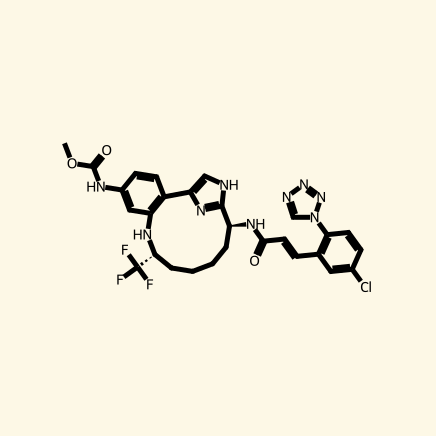 COC(=O)Nc1ccc2c(c1)N[C@@H](C(F)(F)F)CCCC[C@H](NC(=O)/C=C/c1cc(Cl)ccc1-n1cnnn1)c1nc-2c[nH]1